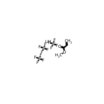 C=CC(=O)OC.F[B-](F)(F)F.F[B-](F)(F)F.F[B-](F)(F)F.[LiH]